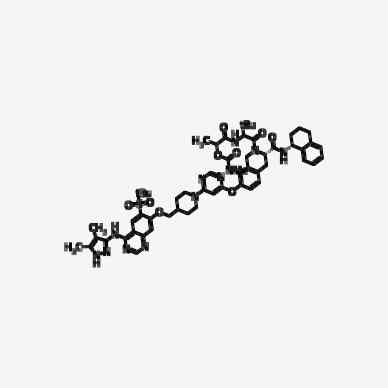 CNC(=O)OC(C)C(=O)NC(C(=O)N1Cc2cc(Oc3cc(N4CCC(COc5cc6ncnc(Nc7n[nH]c(C)c7C)c6cc5S(=O)(=O)C(C)(C)C)CC4)ncn3)ccc2C[C@H]1C(=O)N[C@@H]1CCCc2ccccc21)C(C)(C)C